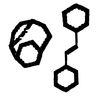 C(=Cc1ccccc1)c1ccccc1.c1cc2ccc(cc2)c2ccc1cc2